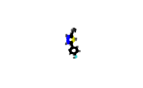 CC(C)c1nnc(-c2ccc(F)cc2)s1